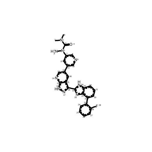 CN(C)C(=O)N(N)c1cncc(-c2cnc3[nH]nc(-c4nc5c(-c6ccccc6F)cccc5[nH]4)c3c2)c1